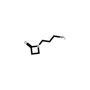 NCCCN1CCC1=O